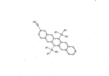 C#Cc1ccc2cc3c([Si](C(C)C)(C(C)C)C(C)C)c4cc5ccccc5cc4c([Si](C(C)C)(C(C)C)C(C)C)c3cc2c1